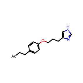 CC(=O)CCc1ccc(OCCCc2c[nH]cn2)cc1